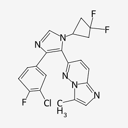 Cc1cnc2ccc(-c3c(-c4ccc(F)c(Cl)c4)ncn3C3CC(F)(F)C3)nn12